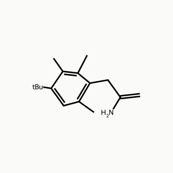 C=C(N)Cc1c(C)cc(C(C)(C)C)c(C)c1C